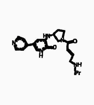 CC(C)NCC=CC(=O)N1CC[C@H](Nc2cc(-c3ccncc3)c[nH]c2=O)C1